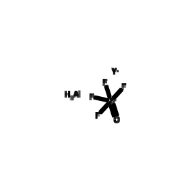 [AlH3].[O]=[Zr]([F])([F])([F])[F].[Y]